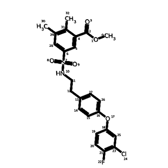 COC(=O)c1cc(S(=O)(=O)NCCc2ccc(Oc3ccc(F)c(Cl)c3)cc2)cc(C)c1C